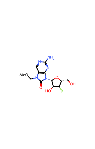 COCn1c(=O)n([C@@H]2O[C@H](CO)[C@@H](F)[C@H]2O)c2nc(N)ncc21